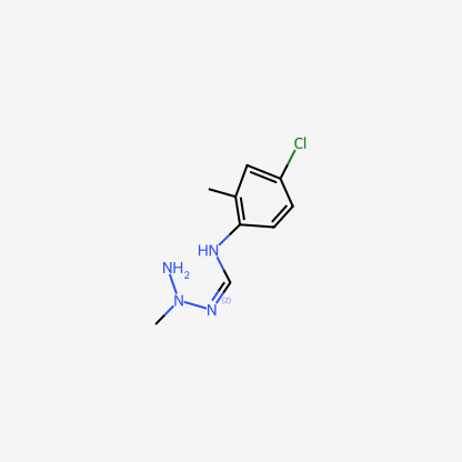 Cc1cc(Cl)ccc1N/C=N\N(C)N